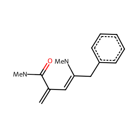 C=C(/C=C(/Cc1ccccc1)NC)C(=O)NC